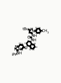 Cc1ccc(-n2nc(C(C)(C)C)cc2NC(=O)N[C@H]2CCC(Oc3ccc4nnc(NC(C)C)n4c3)c3ccccc32)cc1